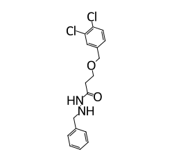 O=C(CCOCc1ccc(Cl)c(Cl)c1)NNCc1ccccc1